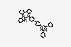 c1ccc(-c2cc(-c3ccc(-c4ccc(N5c6ccccc6-c6ccccc6-n6c5nc5ccccc56)cc4)cc3)nc(-c3ccccc3)n2)cc1